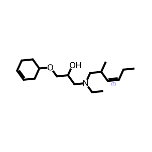 CC/C=C\C(C)CN(CC)CC(O)COC1CC=CCC1